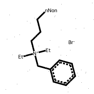 CCCCCCCCCCCC[N+](CC)(CC)Cc1ccccc1.[Br-]